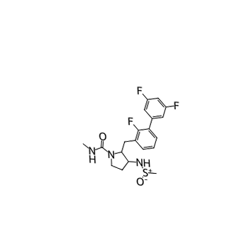 CNC(=O)N1CCC(N[S+](C)[O-])C1Cc1cccc(-c2cc(F)cc(F)c2)c1F